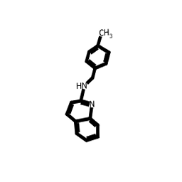 Cc1ccc(CNc2ccc3ccccc3n2)cc1